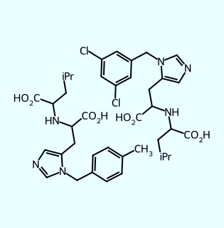 CC(C)CC(NC(Cc1cncn1Cc1cc(Cl)cc(Cl)c1)C(=O)O)C(=O)O.Cc1ccc(Cn2cncc2CC(NC(CC(C)C)C(=O)O)C(=O)O)cc1